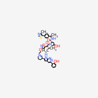 Cc1ncsc1-c1ccc([C@H](C)NC(=O)[C@@H]2C[C@@H](O)CN2C(=O)[C@@H](c2cc(OCCN3CCCC(c4cc5cc(-c6ccccc6O)nnc5[nH]4)C3)no2)C(C)C)cc1